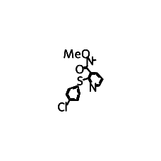 CON(C)C(=O)c1cccnc1Sc1ccc(Cl)cc1